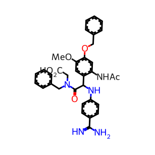 COc1cc(C(Nc2ccc(C(=N)N)cc2)C(=O)N(CC(=O)O)Cc2ccccc2)c(NC(C)=O)cc1OCc1ccccc1